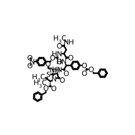 CNC(=O)CC(NC(=O)OCc1ccc([N+](=O)[O-])cc1)C(=O)NC(C(=O)N[C@@H]1C(=O)N2[C@@H](C(=O)OCc3ccccc3)C(C)(C)SC12NC=O)c1ccc(OC(=O)OCc2ccccc2)cc1